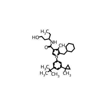 CCC(CCO)NC(=O)c1cn(-c2cc(C(C)(C)C)cc(C3(C)CC3)c2)c(CC2CCCCC2)c1C